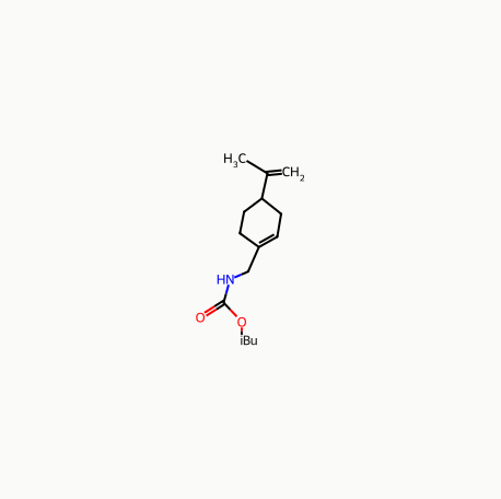 C=C(C)C1CC=C(CNC(=O)OC(C)CC)CC1